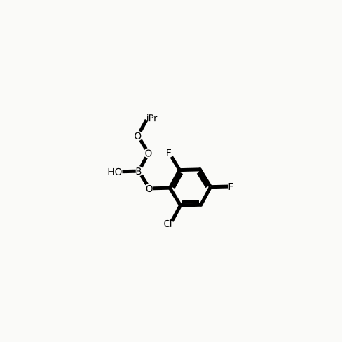 CC(C)OOB(O)Oc1c(F)cc(F)cc1Cl